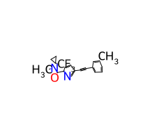 Cc1cccc(C#Cc2ccc(C(=O)N(C)C3(C(F)(F)F)CC3)nc2)c1